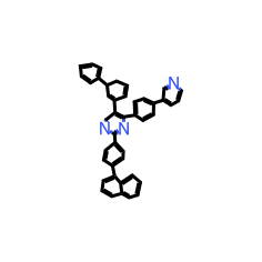 C1=CC(c2cnc(-c3ccc(-c4cccc5ccccc45)cc3)nc2-c2ccc(-c3cccnc3)cc2)=CC(c2ccccc2)C1